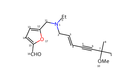 CCN(CC=CC#CC(C)(C)OC)Cc1ccc(C=O)o1